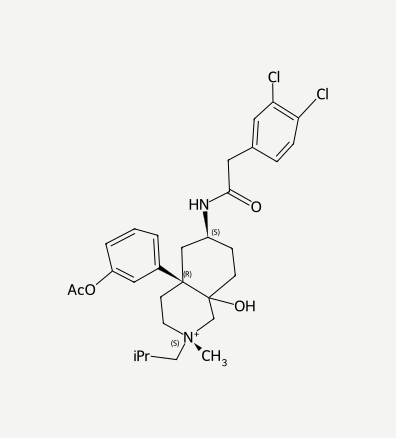 CC(=O)Oc1cccc([C@]23CC[N@@+](C)(CC(C)C)CC2(O)CC[C@H](NC(=O)Cc2ccc(Cl)c(Cl)c2)C3)c1